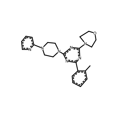 Cc1ccccc1-c1nc(N2CCOCC2)nc(N2CCN(c3ccccn3)CC2)n1